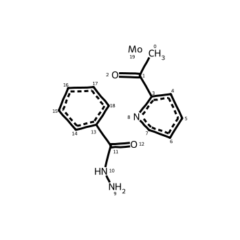 CC(=O)c1ccccn1.NNC(=O)c1ccccc1.[Mo]